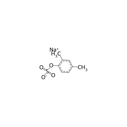 Cc1ccc(OS(=O)(=O)[O-])c(C)c1.[Na+]